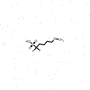 COCCCCC(F)(F)S(=O)(=O)O